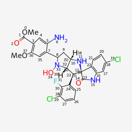 COC(=O)c1cc(N)c(C2C[C@@H]3N[C@@]4(C(=O)Nc5cc(Cl)ccc54)[C@@H](c4cccc(Cl)c4F)[C@@H]3N2O)cc1OC